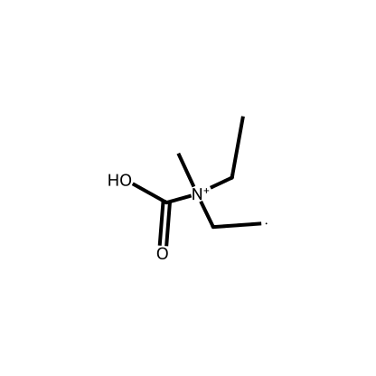 [CH2]C[N+](C)(CC)C(=O)O